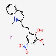 COc1cc([N+](=O)[O-])cc(/C=C/c2ccc3ccccc3[n+]2C)c1O.[I-]